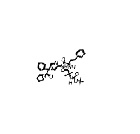 CC(C)(C)OC(=O)NC(C)(C)C(=O)N[C@H](CCc1ccccc1)C(=O)Nc1cn(C(C(=O)N2CCCC2)c2ccccc2)cn1